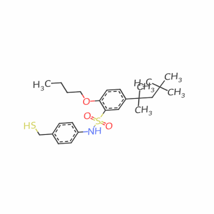 CCCCOc1ccc(C(C)(C)CC(C)(C)C)cc1S(=O)(=O)Nc1ccc(CS)cc1